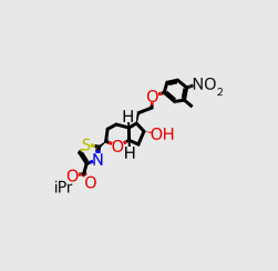 Cc1cc(OCC[C@@H]2[C@H]3CC[C@H](c4nc(C(=O)OC(C)C)cs4)O[C@H]3C[C@H]2O)ccc1[N+](=O)[O-]